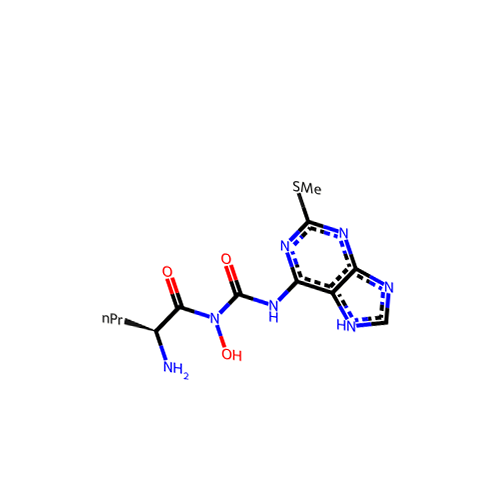 CCC[C@H](N)C(=O)N(O)C(=O)Nc1nc(SC)nc2nc[nH]c12